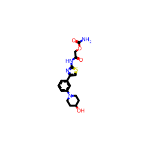 NC(=O)OCC(=O)Nc1nc(-c2cccc(N3CCC(O)CC3)c2)cs1